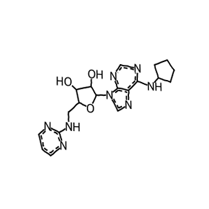 OC1C(CNc2ncccn2)OC(n2cnc3c(NC4CCCC4)ncnc32)C1O